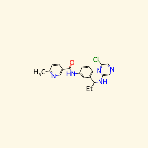 CC[C@H](Nc1cncc(Cl)n1)c1cccc(NC(=O)c2ccc(C)nc2)c1